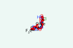 COCCOc1cc2nc(C)nc(N[C@H](C)c3cc(C(=O)O)cc(C(F)(F)F)c3)c2cc1C1CCC(C(=O)N2CCN(CC3CCC4(CC3)CCN(C(=O)c3ccc(Cl)c(N5CCC(=O)NC5=O)c3)CC4)CC2)CC1